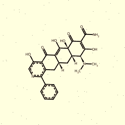 CN(C)[C@@H]1C(O)=C(C(N)=O)C(=O)[C@@]2(O)C(O)=C3C(=O)c4c(O)cnc(-c5ccccc5)c4C[C@H]3C[C@@H]12